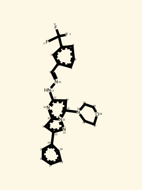 FC(F)(F)c1cccc(C=NNc2cc(N3CCOCC3)n3nc(-c4ccccc4)cc3n2)c1